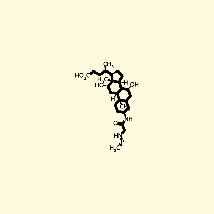 C=PNCC(=O)N[C@H]1CC[C@@]2(C)C(C1)C[C@@H](O)C1[C@@H]3CC[C@H]([C@H](C)CCC(=O)O)[C@@]3(C)[C@@H](O)C[C@@H]12